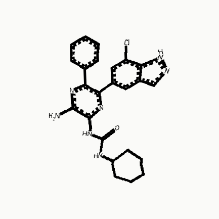 Nc1nc(-c2ccccc2)c(-c2cc(Cl)c3[nH]ncc3c2)nc1NC(=O)NC1CCCCC1